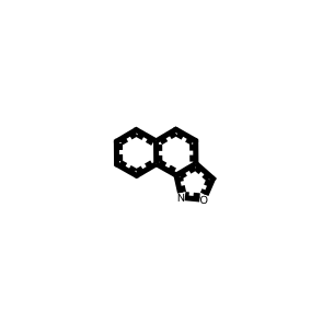 [c]1onc2c1ccc1ccccc12